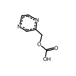 O=C(O)OCc1cnccn1